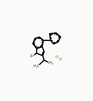 CC(C)C1=Cc2c(-c3ccccc3)cccc2[CH]1[Zr+2].[Cl-].[Cl-]